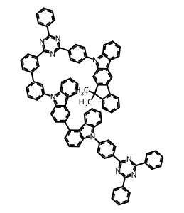 CC1(C)c2ccccc2-c2cc3c4ccccc4n(-c4ccc(-c5nc(-c6ccccc6)nc(-c6cccc(-c7cccc(-n8c9ccccc9c9cc(-c%10cccc%11c%10c%10ccccc%10n%11-c%10ccc(-c%11nc(-c%12ccccc%12)nc(-c%12ccccc%12)n%11)cc%10)ccc98)c7)c6)n5)cc4)c3cc21